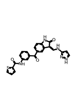 O=C1Nc2ccc(C(=O)c3cccc(NC(=O)c4cccs4)c3)cc2/C1=C/Nc1cc[nH]n1